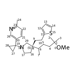 COC(C)(C)CCC(C)[C@]1(CCc2cccs2)CCN(C2(c3ccc(C)nc3)CC2)C1